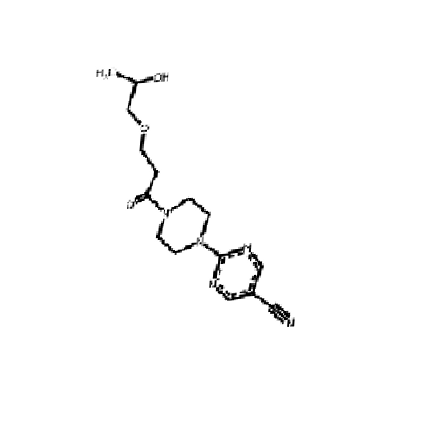 CC(O)COCCC(=O)N1CCN(c2ncc(C#N)cn2)CC1